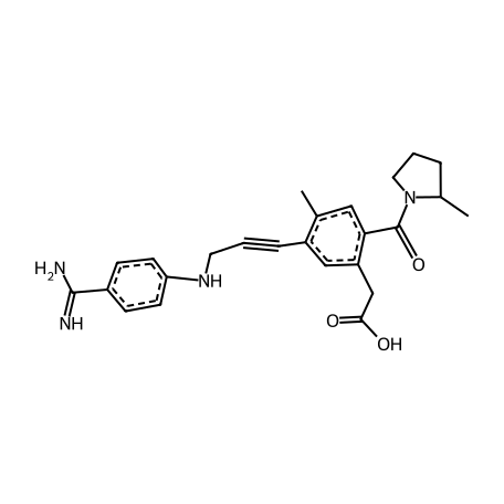 Cc1cc(C(=O)N2CCCC2C)c(CC(=O)O)cc1C#CCNc1ccc(C(=N)N)cc1